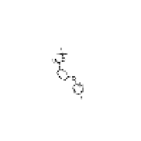 Cc1ccc(OC2CC3CC2N(C(=O)OC(C)(C)C)C3)nc1